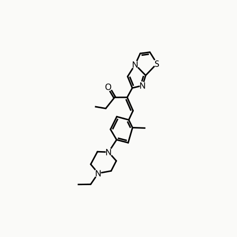 CCC(=O)/C(=C\c1ccc(N2CCN(CC)CC2)cc1C)c1cn2ccsc2n1